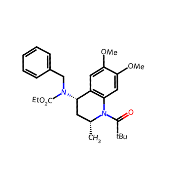 CCOC(=O)N(Cc1ccccc1)[C@H]1C[C@@H](C)N(C(=O)C(C)(C)C)c2cc(OC)c(OC)cc21